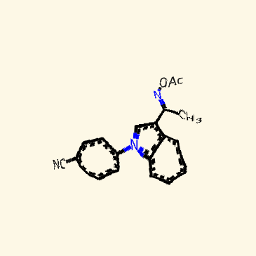 CC(=O)O/N=C(\C)c1cn(-c2ccc(C#N)cc2)c2ccccc12